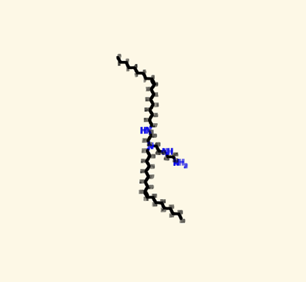 CCCCCCCC/C=C\CCCCCCCCNCCN(CCCCCCCC/C=C\CCCCCCCC)CCNCCN